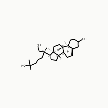 CC(C)(O)CCC[C@](C)(OO)[C@H]1CC[C@H]2[C@@H]3CC=C4CC(O)CC[C@]4(C)[C@H]3CC[C@@]21C